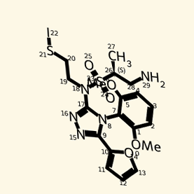 COc1cccc(OC)c1-n1c(-c2ccco2)nnc1N(CCSI)S(=O)(=O)[C@@H](C)CN